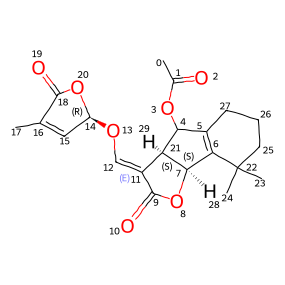 CC(=O)OC1C2=C([C@H]3OC(=O)/C(=C/O[C@H]4C=C(C)C(=O)O4)[C@@H]13)C(C)(C)CCC2